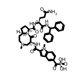 CN1CC[C@H]2CC[C@@H](C(=O)N[C@@H](CCC(N)=O)C(=O)NC(c3ccccc3)c3ccccc3)N2C(=O)[C@@H](NC(=O)c2cc3cc(C(=O)P(=O)(O)O)ccc3n2C)C1